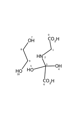 O=C(O)CNC(O)(O)C(=O)O.OCCO